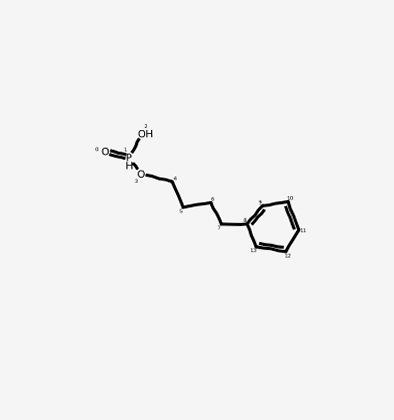 O=[PH](O)OCCCCc1ccccc1